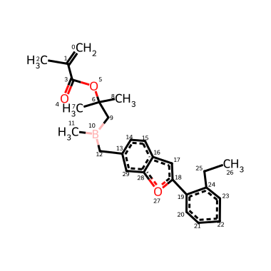 C=C(C)C(=O)OC(C)(C)CB(C)Cc1ccc2cc(-c3ccccc3CC)oc2c1